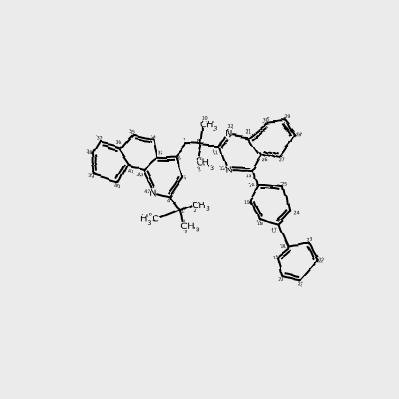 CC(C)(C)c1cc(CC(C)(C)c2nc(-c3ccc(-c4ccccc4)cc3)c3ccccc3n2)c2ccc3ccccc3c2n1